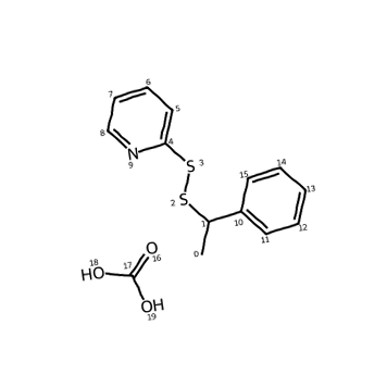 CC(SSc1ccccn1)c1ccccc1.O=C(O)O